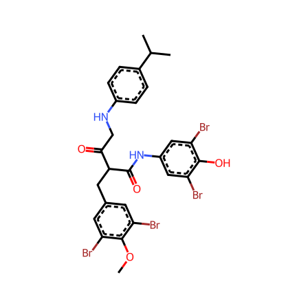 COc1c(Br)cc(CC(C(=O)CNc2ccc(C(C)C)cc2)C(=O)Nc2cc(Br)c(O)c(Br)c2)cc1Br